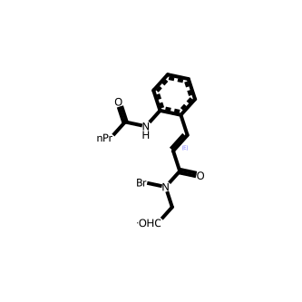 CCCC(=O)Nc1ccccc1/C=C/C(=O)N(Br)C[C]=O